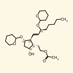 CCCCC[C@@H](C=C[C@H]1[C@H](CCOC(C)=O)[C@H](O)C[C@@H]1OC1CCCCO1)OC1CCCCO1